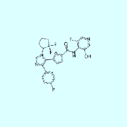 O=C(Nc1c(O)cncc1F)c1ccc(-c2c(-c3ccc(F)cc3)ncn2C2CCCC2(F)F)o1